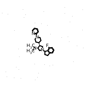 CN(C)[C@H]1CN(C2CCc3cccc(F)c32)C[C@@H]1C1CCN(c2ccccn2)CC1